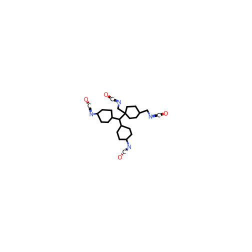 O=C=NCC1CCC(CN=C=O)(C(C2CCC(N=C=O)CC2)C2CCC(N=C=O)CC2)CC1